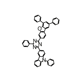 c1ccc(-c2cc(-c3ccccc3)c3oc4cc(-c5nc(-c6ccccc6)nc(-c6ccc7c(c6)c6ccccc6n7-c6ccccc6)n5)ccc4c3c2)cc1